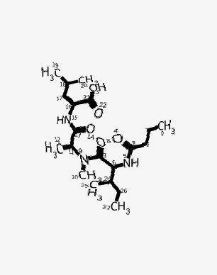 CCCC(=O)NC(C(=O)N(C)C(C)C(=O)NC(CC(C)C)C(=O)O)C(C)CC